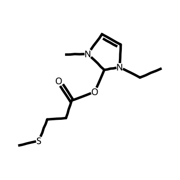 CCN1C=CN(C)C1OC(=O)CCSC